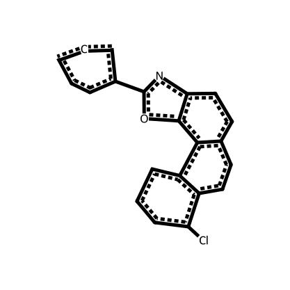 Clc1cccc2c1ccc1ccc3nc(-c4ccccc4)oc3c12